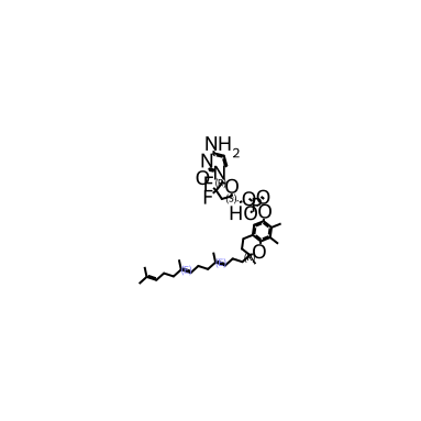 CC(C)=CCC/C(C)=C/CC/C(C)=C/CC[C@]1(C)CCc2cc(OP(=O)(O)OC[C@@H]3CC(F)(F)[C@H](n4ccc(N)nc4=O)O3)c(C)c(C)c2O1